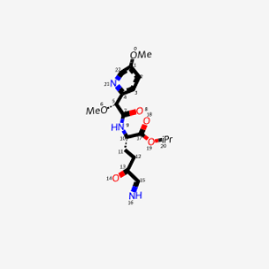 COc1ccc([C@@H](OC)C(=O)N[C@@H](CCC(=O)C=N)C(=O)OC(C)C)nc1